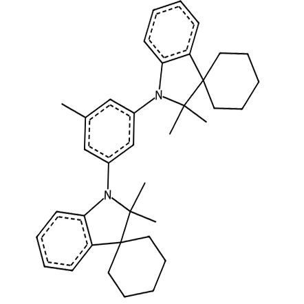 Cc1cc(N2c3ccccc3C3(CCCCC3)C2(C)C)cc(N2c3ccccc3C3(CCCCC3)C2(C)C)c1